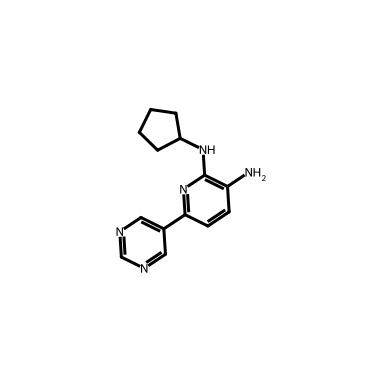 Nc1ccc(-c2cncnc2)nc1NC1CCCC1